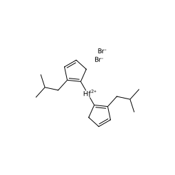 CC(C)CC1=[C]([Hf+2][C]2=C(CC(C)C)C=CC2)CC=C1.[Br-].[Br-]